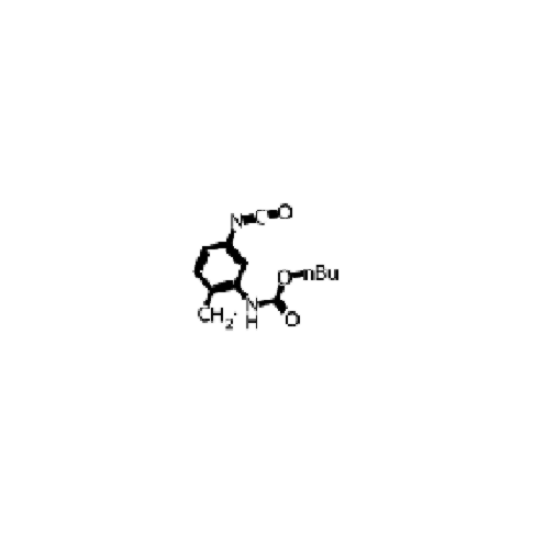 [CH2]c1ccc(N=C=O)cc1NC(=O)OCCCC